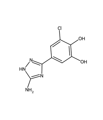 Nc1nc(-c2cc(O)c(O)c(Cl)c2)n[nH]1